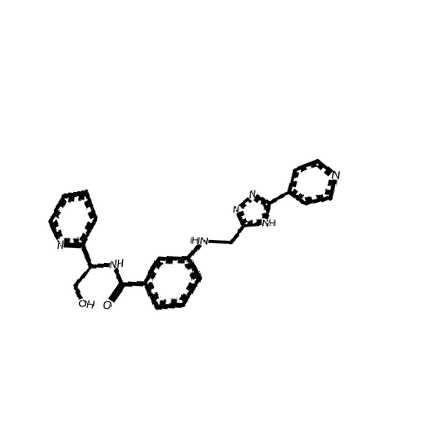 O=C(NC(CO)c1ccccn1)c1cccc(NCc2nnc(-c3ccncc3)[nH]2)c1